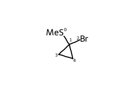 CSC1(Br)CC1